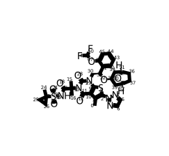 Cc1c(-n2nccn2)sc2c1c(=O)n(C(C)(C)C(=O)NS(=O)(=O)C1(C)CC1)c(=O)n2C[C@H](O[C@H]1C[C@H]2CC[C@@H](C1)O2)c1ccccc1OC(F)F